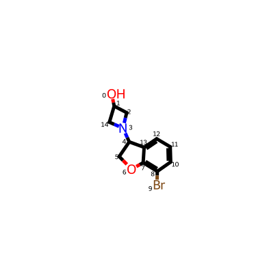 OC1CN(C2COc3c(Br)cccc32)C1